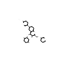 Cc1ccc(C)c(Nc2c(Cl)c(COc3cccnc3)nc3ccc(-c4ccc(C#N)nc4)cc23)c1